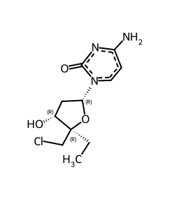 CC[C@@]1(CCl)O[C@@H](n2ccc(N)nc2=O)C[C@H]1O